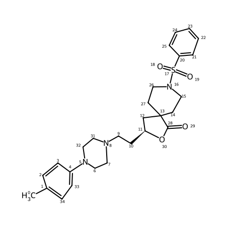 Cc1ccc(N2CCN(CC[C@H]3CC4(CCN(S(=O)(=O)c5ccccc5)CC4)C(=O)O3)CC2)cc1